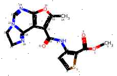 COC(=O)c1sccc1NC(=O)c1c(C)oc2c1C1=NCCN1C=N2